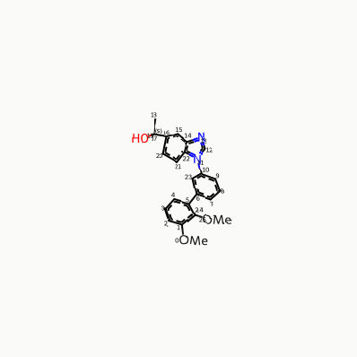 COc1cccc(-c2cccc(-n3cnc4cc([C@H](C)O)ccc43)c2)c1OC